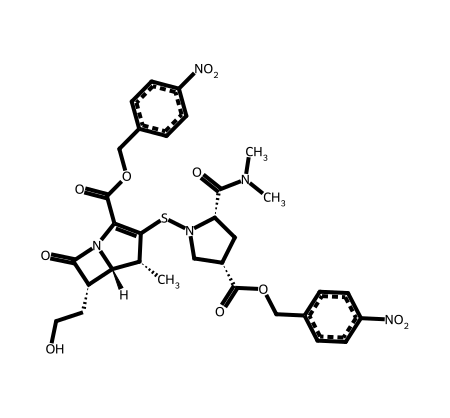 C[C@H]1C(SN2C[C@@H](C(=O)OCc3ccc([N+](=O)[O-])cc3)C[C@H]2C(=O)N(C)C)=C(C(=O)OCc2ccc([N+](=O)[O-])cc2)N2C(=O)[C@@H](CCO)[C@@H]12